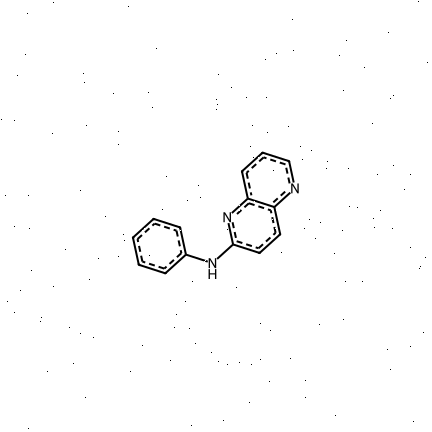 c1ccc(Nc2ccc3ncccc3n2)cc1